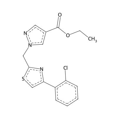 CCOC(=O)c1cnn(Cc2nc(-c3ccccc3Cl)cs2)c1